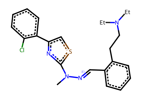 CCN(CC)CCc1ccccc1/C=N/N(C)c1nc(-c2ccccc2Cl)cs1